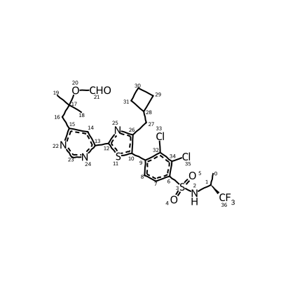 C[C@H](NS(=O)(=O)c1ccc(-c2sc(-c3cc(CC(C)(C)OC=O)ncn3)nc2CC2CCC2)c(Cl)c1Cl)C(F)(F)F